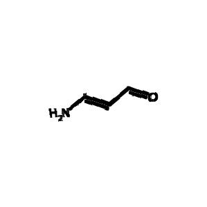 N/[C]=C/C=O